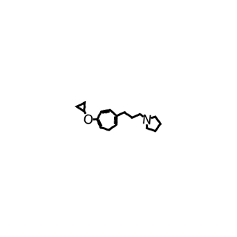 C1=CC(OC2CC2)=CCC=C1CCCN1CCCC1